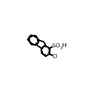 O=S(=O)(O)c1c(Cl)ccc2c1Cc1ccccc1-2